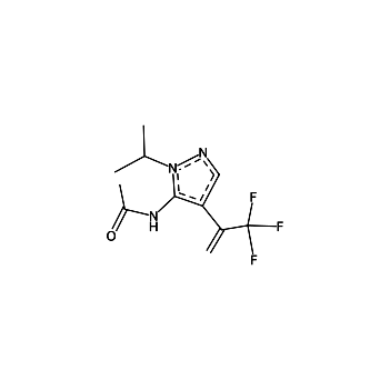 C=C(c1cnn(C(C)C)c1NC(C)=O)C(F)(F)F